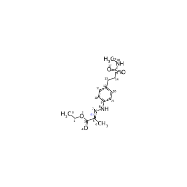 CCOC(=O)/C(C)=N/Nc1ccc(CCS(=O)(=O)NC)cc1